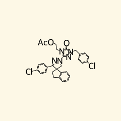 CC(=O)OCCn1c(N2CC3(CCc4ccccc43)C(c3ccc(Cl)cc3)=N2)nn(Cc2ccc(Cl)cc2)c1=O